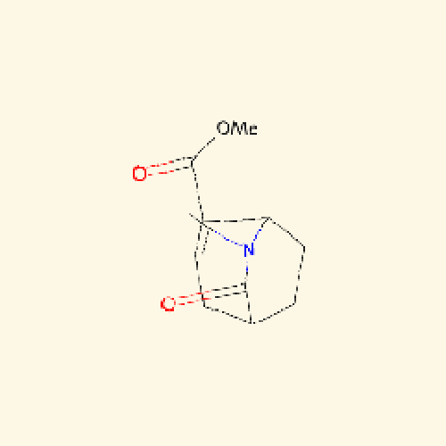 COC(=O)C1=CCC2CCC1N(C)C2=O